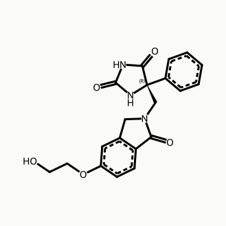 O=C1NC(=O)[C@](CN2Cc3cc(OCCO)ccc3C2=O)(c2ccccc2)N1